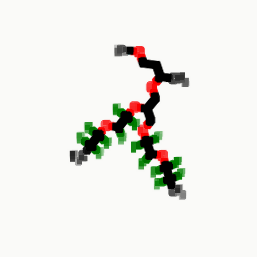 CC(C)OCCC(C)OCC(COC(F)(F)C(F)OC(F)(F)C(F)(F)C(F)(F)F)OC(F)(F)C(F)OC(F)(F)C(F)(F)C(F)(F)F